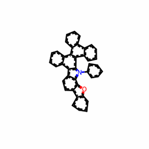 c1ccc(-n2c3c(ccc4c5ccccc5oc43)c3c4ccccc4c4c5ccccc5c5ccccc5c4c32)cc1